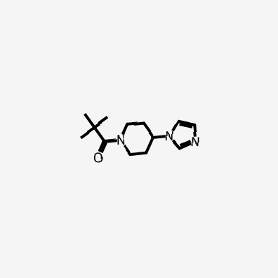 CC(C)(C)C(=O)N1CCC(n2ccnc2)CC1